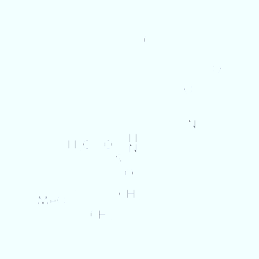 COc1cc(C)c(S(=O)(=O)NCC2CCN(C[C@H]3COc4ccc(Cl)cc4O3)CC2)c(C)c1C